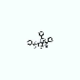 O=C(O[C@@H]1[C@@H](OC(=O)c2ccccc2)[C@H](OC(=O)c2ccccc2)CO[C@H]1O)c1ccccc1